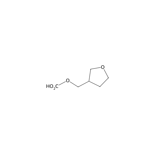 O=C(O)OCC1CCOC1